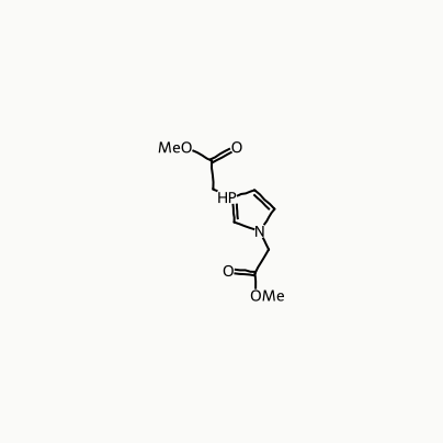 COC(=O)CN1C=C[PH](CC(=O)OC)=C1